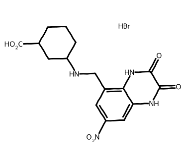 Br.O=C(O)C1CCCC(NCc2cc([N+](=O)[O-])cc3[nH]c(=O)c(=O)[nH]c23)C1